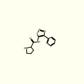 O=C(Nc1snnc1-c1ccccc1)C1CCCN1